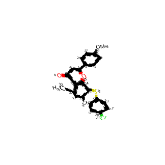 COc1ccc(-c2cc(=O)c3c(C)cc(C)c(Sc4ccc(Cl)cc4)c3o2)cc1